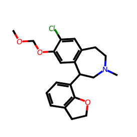 COCOc1cc2c(cc1Cl)CCN(C)CC2c1cccc2c1OCC2